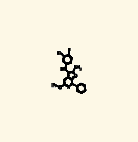 CC(C)Oc1cc2c(Nc3ccc(F)c(Cl)c3)c(N)oc2c(-c2ccccc2)n1